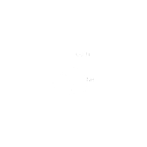 O=C(O)C1NCC2CC[C]1C2